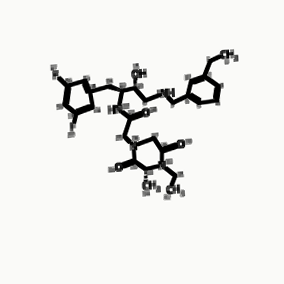 CCc1cccc(CNC[C@@H](O)[C@H](Cc2cc(F)cc(F)c2)NC(=O)CN2CC(=O)N(CC)[C@H](C)C2=O)c1